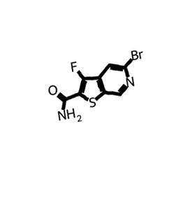 NC(=O)c1sc2cnc(Br)cc2c1F